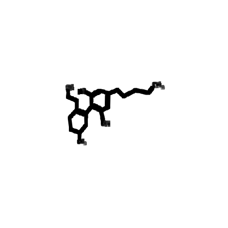 CCCCCc1cc(O)c(C2=C(CCO)CCC(C)C2)c(O)c1